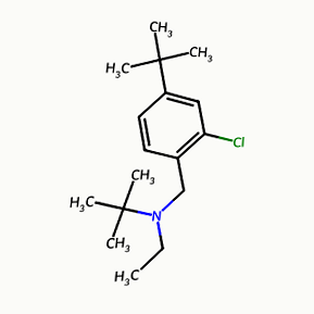 CCN(Cc1ccc(C(C)(C)C)cc1Cl)C(C)(C)C